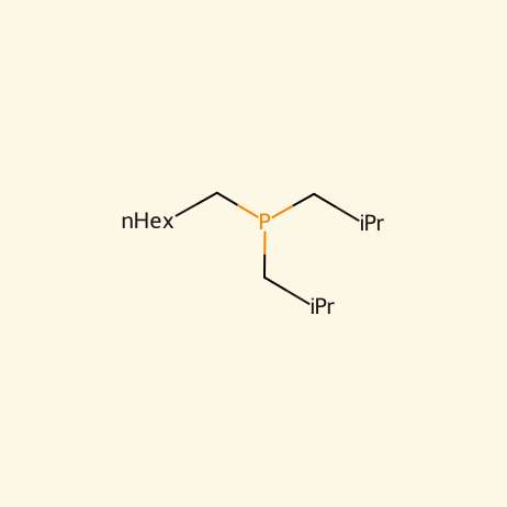 CCCCCCCP(CC(C)C)CC(C)C